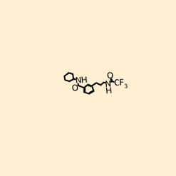 O=C(NC1CCCCC1)c1cccc(CCCNC(=O)C(F)(F)F)c1